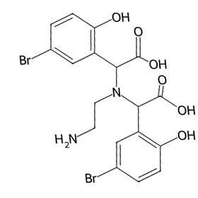 NCCN(C(C(=O)O)c1cc(Br)ccc1O)C(C(=O)O)c1cc(Br)ccc1O